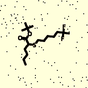 CCCCC(SCCCCCC(C)(F)F)C(=O)OC(C)(C)C